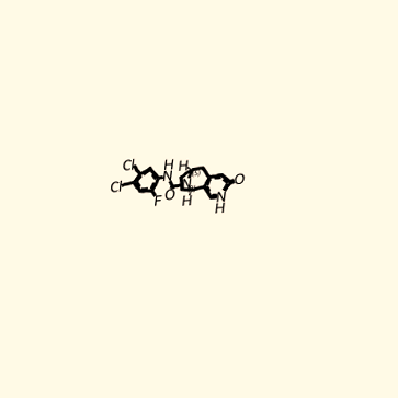 O=C(Nc1cc(Cl)c(Cl)cc1F)N1[C@H]2CC[C@@H]1c1c[nH]c(=O)cc1C2